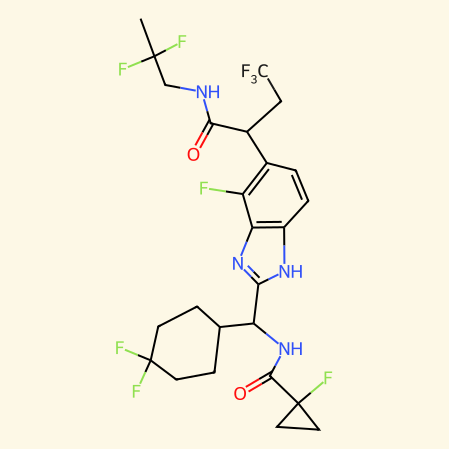 CC(F)(F)CNC(=O)C(CC(F)(F)F)c1ccc2[nH]c(C(NC(=O)C3(F)CC3)C3CCC(F)(F)CC3)nc2c1F